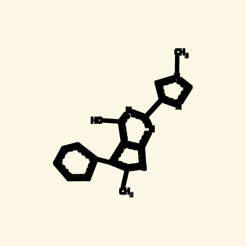 Cc1sc2nc(-c3cn(C)cn3)nc(O)c2c1-c1ccccc1